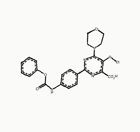 CCOc1c(C(=O)O)nc(-c2ccc(NC(=O)Oc3ccccc3)cc2)nc1N1CCOCC1